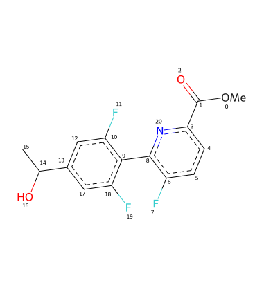 COC(=O)c1ccc(F)c(-c2c(F)cc(C(C)O)cc2F)n1